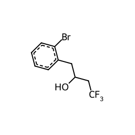 OC(Cc1ccccc1Br)CC(F)(F)F